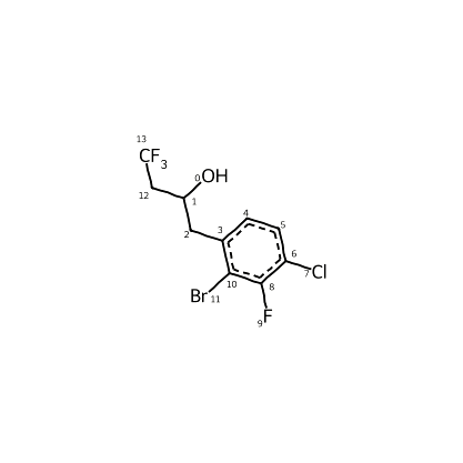 OC(Cc1ccc(Cl)c(F)c1Br)CC(F)(F)F